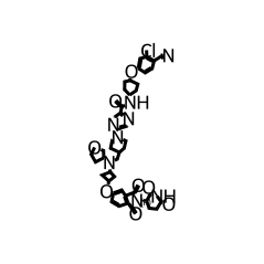 N#Cc1ccc(OC2CCC(NC(=O)c3cnc(N4CCC(CN(C5CCOC5)C5CC(Oc6ccc7c(c6)C(=O)N([C@@H]6CCC(=O)NC6=O)C7=O)C5)CC4)cn3)CC2)cc1Cl